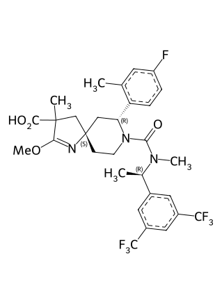 COC1=N[C@]2(CCN(C(=O)N(C)[C@H](C)c3cc(C(F)(F)F)cc(C(F)(F)F)c3)[C@@H](c3ccc(F)cc3C)C2)CC1(C)C(=O)O